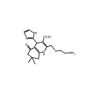 CCOC(=O)C1=C(COCCN)NC2=C(C(=O)CC(C)(C)C2)C1c1ncc[nH]1